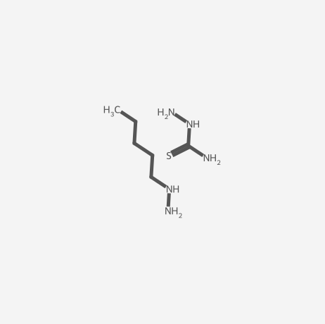 CCCCCNN.NNC(N)=S